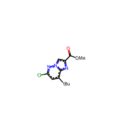 COC(=O)c1cn2nc(Cl)cc(C(C)(C)C)c2n1